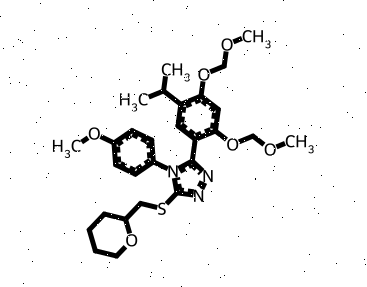 COCOc1cc(OCOC)c(C(C)C)cc1-c1nnc(SCC2CCCCO2)n1-c1ccc(OC)cc1